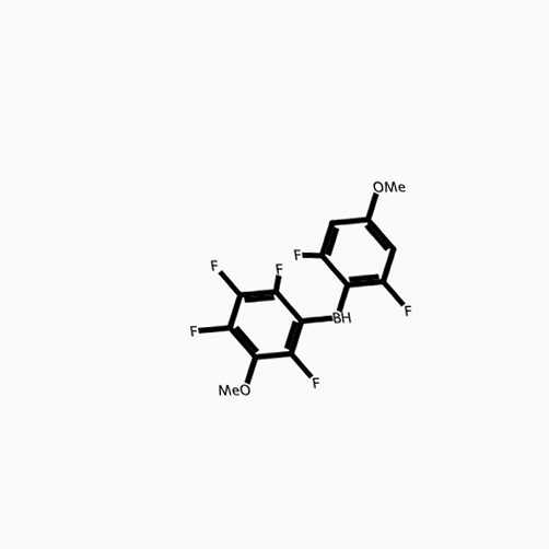 COc1cc(F)c(Bc2c(F)c(F)c(F)c(OC)c2F)c(F)c1